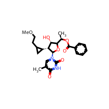 COCCC1CC1[C@@H]1[C@H](O)C([C@@H](C)OC(=O)c2ccccc2)O[C@H]1n1cc(C)c(=O)[nH]c1=O